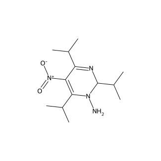 CC(C)C1=NC(C(C)C)N(N)C(C(C)C)=C1[N+](=O)[O-]